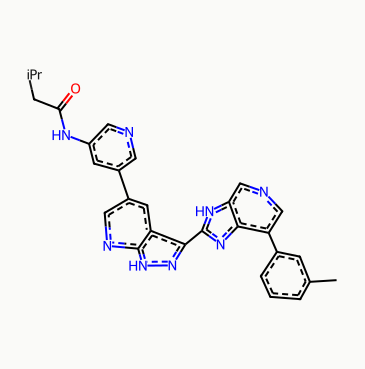 Cc1cccc(-c2cncc3[nH]c(-c4n[nH]c5ncc(-c6cncc(NC(=O)CC(C)C)c6)cc45)nc23)c1